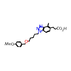 COc1ccc(COCCCCCn2nnc3c(C)c(CCC(=O)O)ccc32)cc1